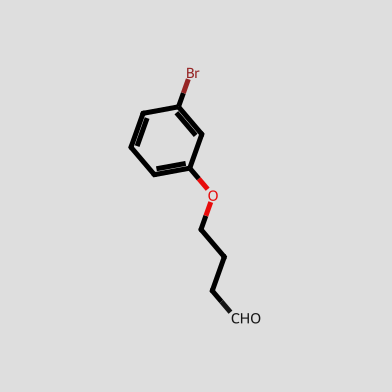 O=CCCCOc1cccc(Br)c1